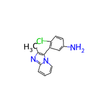 Cc1nc2ccccn2c1-c1cc(N)ccc1Cl